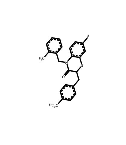 O=C(O)c1ccc(CC2Sc3cc(F)ccc3N(Cc3ccccc3C(F)(F)F)C2=O)cc1